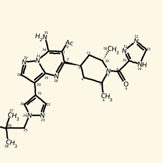 CC(=O)c1c([C@@H]2CC(C)N(C(=O)c3nnc[nH]3)[C@@H](C)C2)nc2c(-c3cnn(CC(C)(C)O)c3)cnn2c1N